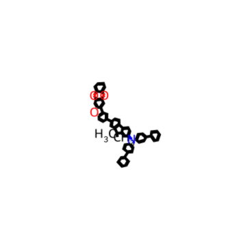 CC1(C)c2cc(-c3ccc4oc5cc6c(cc5c4c3)Oc3ccccc3O6)ccc2-c2ccc(N(c3ccc(-c4ccccc4)cc3)c3ccc(-c4ccccc4)cc3)cc21